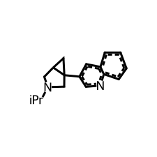 CC(C)N1CC2CC2(c2cnc3ccccc3c2)C1